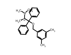 Cc1cc(C)cc(COC(c2ccccc2)(c2ccccc2)[C@@H](C)N(C)C)c1